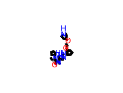 CC[C@@H]1C(=O)N(C)c2cnc(Nc3ccccc3OCCOC3CCNCC3)nc2N1C1CCCC1